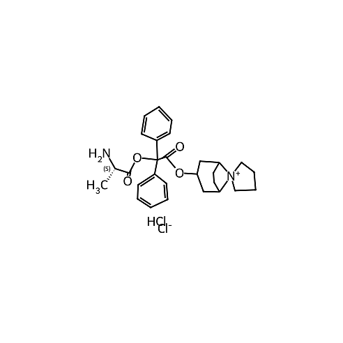 C[C@H](N)C(=O)OC(C(=O)OC1CC2CCC(C1)[N+]21CCCC1)(c1ccccc1)c1ccccc1.Cl.[Cl-]